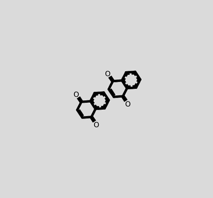 O=C1C=CC(=O)c2ccccc21.O=C1C=CC(=O)c2ccccc21